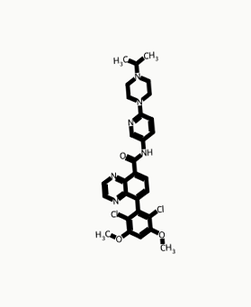 COc1cc(OC)c(Cl)c(-c2ccc(C(=O)Nc3ccc(N4CCN(C(C)C)CC4)nc3)c3nccnc23)c1Cl